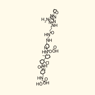 Cc1c(NC(=O)c2ccc(CNCCNC(=O)CCCNc3nc(N)n4nc(-c5ccco5)nc4n3)cn2)cccc1-c1cccc(NC(=O)c2ccc(CN[C@@H](CO)C(=O)O)cn2)c1Cl.O=CO